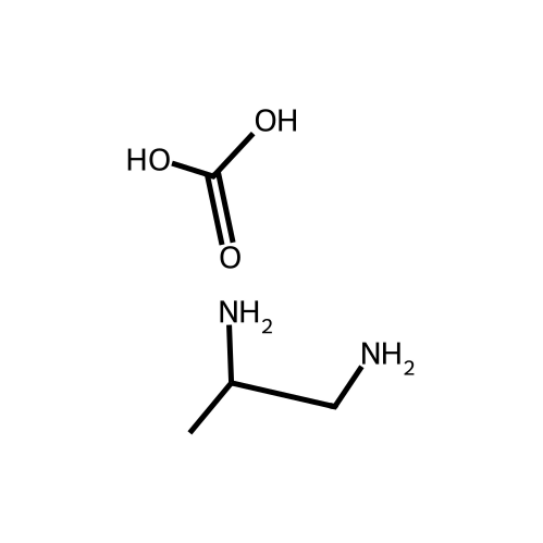 CC(N)CN.O=C(O)O